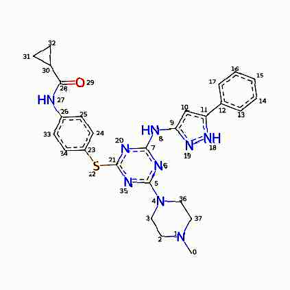 CN1CCN(c2nc(Nc3cc(-c4ccccc4)[nH]n3)nc(Sc3ccc(NC(=O)C4CC4)cc3)n2)CC1